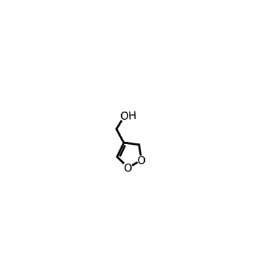 OCC1=COOC1